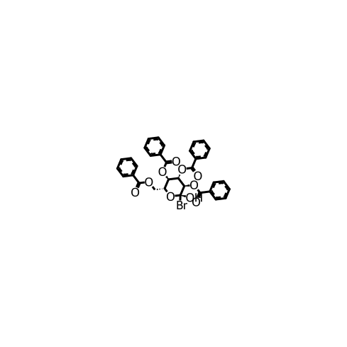 O=C(OC[C@H]1O[C@@](O)(Br)[C@H](OC(=O)c2ccccc2)[C@@H](OC(=O)c2ccccc2)[C@@H]1OC(=O)c1ccccc1)c1ccccc1